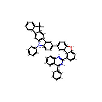 CC1(C)c2ccccc2-c2cc3c(cc21)c1cc(-c2ccc4oc5cccc(-c6nc(-c7ccccc7)c7ccccc7n6)c5c4c2)ccc1n3-c1ccccc1